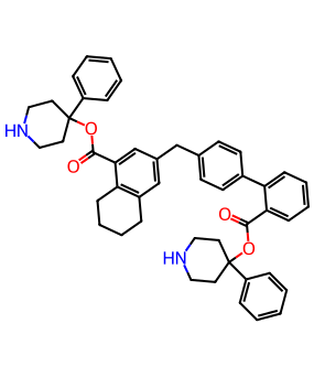 O=C(OC1(c2ccccc2)CCNCC1)c1ccccc1-c1ccc(Cc2cc3c(c(C(=O)OC4(c5ccccc5)CCNCC4)c2)CCCC3)cc1